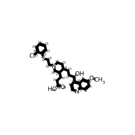 COc1ccc2nccc([C@@H](O)CCC3CCN(CCSc4ccccc4Cl)CC3CCC(=O)O)c2c1